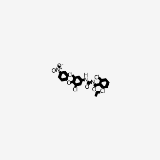 CC(C)OC(=NC(=O)Nc1cc(Cl)c(Oc2ccc([N+](=O)[O-])cc2)c(Cl)c1)c1c(Cl)cccc1Cl